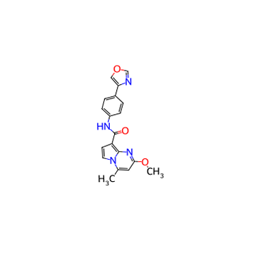 COc1cc(C)n2ccc(C(=O)Nc3ccc(-c4cocn4)cc3)c2n1